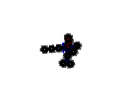 c1ccc(-c2ccc(-c3ccc(-c4nc(-c5ccccc5)nc(-n5c6ccc(-n7c8ccccc8c8ccccc87)cc6c6ccc7c8ccccc8n(-c8cccc(-c9ccccc9)c8)c7c65)n4)cc3)cc2)cc1